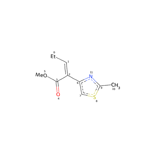 CCC=C(C(=O)OC)c1csc(C)n1